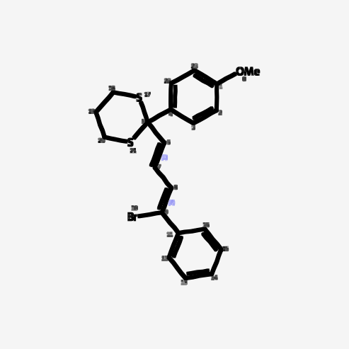 COc1ccc(C2(/C=C/C=C(\Br)c3ccccc3)SCCCS2)cc1